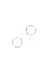 CO[Si](OC)(C1CCCCCC1)C1CCCCCC1